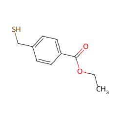 CCOC(=O)c1ccc(CS)cc1